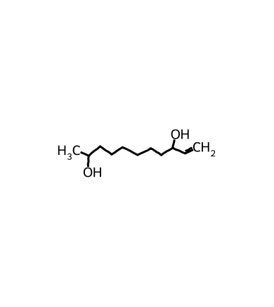 C=CC(O)CCCCCCC(C)O